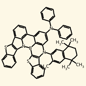 Cc1cc2c(cc1N1c3cc(N(c4ccccc4)c4ccccc4)cc4c3B(c3sc5ccccc5c31)n1c3c-4cccc3c3sc4ccccc4c31)C(C)(C)CCC2(C)C